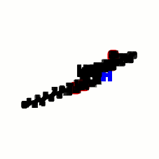 CCCCCCCCCCCCOCOC1CCC[SiH](CCCSC(=O)CCCC)NCC1